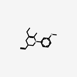 C=CC1CC(CC)=C(C)N(c2cccc(OC)c2)C1